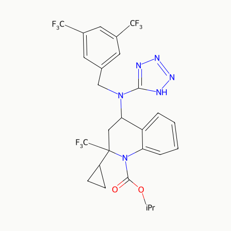 CC(C)OC(=O)N1c2ccccc2C(N(Cc2cc(C(F)(F)F)cc(C(F)(F)F)c2)c2nnn[nH]2)CC1(C1CC1)C(F)(F)F